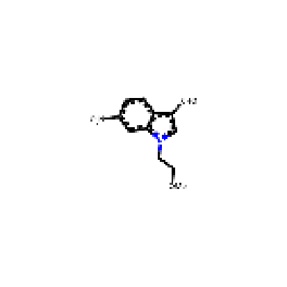 COCCn1cc(C=O)c2ccc([N+](=O)[O-])cc21